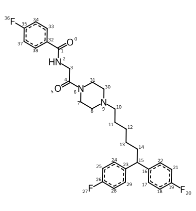 O=C(NCC(=O)N1CCN(CCCCCC(c2ccc(F)cc2)c2ccc(F)cc2)CC1)c1ccc(F)cc1